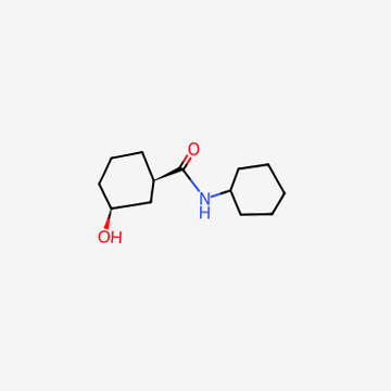 O=C(NC1CCCCC1)[C@@H]1CCC[C@H](O)C1